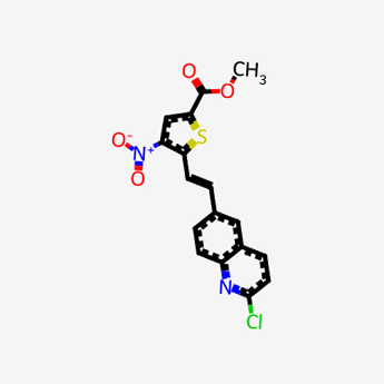 COC(=O)c1cc([N+](=O)[O-])c(/C=C/c2ccc3nc(Cl)ccc3c2)s1